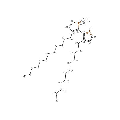 CCCCCCCCCCCCC1=C(c2sccc2CCCCCCCCCCCC)S(=[SiH2])C=C1